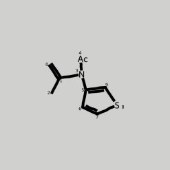 C=C(C)N(C(C)=O)c1ccsc1